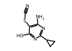 N#CSc1c(N)nc(C2CC2)nc1O